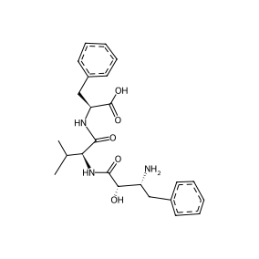 CC(C)[C@H](NC(=O)[C@@H](O)[C@H](N)Cc1ccccc1)C(=O)N[C@@H](Cc1ccccc1)C(=O)O